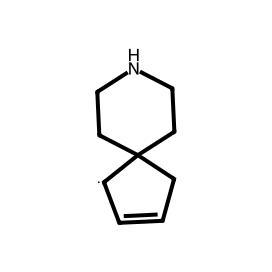 [CH]1C=CCC12CCNCC2